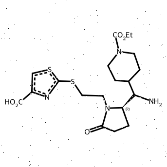 CCOC(=O)N1CCC(C(N)[C@H]2CCC(=O)N2CCSc2nc(C(=O)O)cs2)CC1